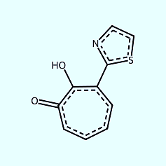 O=c1ccccc(-c2nccs2)c1O